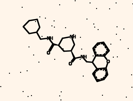 O=C(NCC1c2ccccc2Oc2ccccc21)[C@@H]1CNC[C@H](C(=O)NCC2CCCCC2)C1